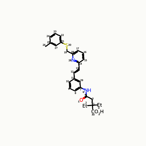 CCC(CC)(CC(=O)Nc1cccc(/C=C/c2cccc(CSc3cccc(C)c3)n2)c1)C(=O)O